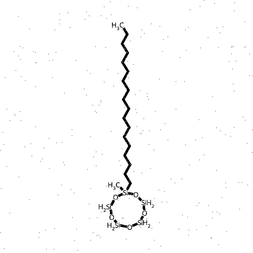 CCCCCCCCCCCCCCCCCC[Si]1(C)O[SiH2]O[SiH2]O[SiH2]O[SiH2]O1